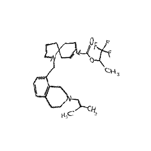 CC(C)CN1CCc2cccc(CN3CCCC34CCN(C(=O)OC(C)C(F)(F)F)CC4)c2C1